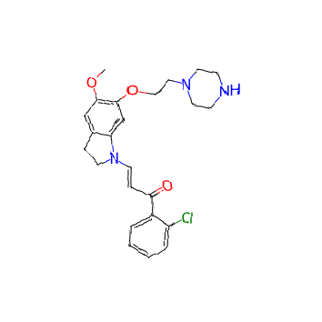 COc1cc2c(cc1OCCN1CCNCC1)N(/C=C/C(=O)c1ccccc1Cl)CC2